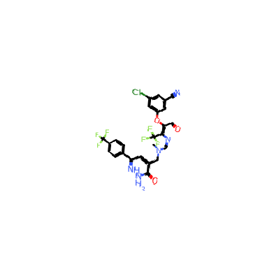 CN(/C=N\C(=C(/C=O)Oc1cc(Cl)cc(C#N)c1)C(F)(F)F)C/C(=C/C(=N)c1ccc(C(F)(F)F)cc1)C(N)=O